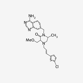 COCC1C(=O)N(Cc2ccc3c(N)ncnc3c2)C(C)CN1C/C=C/c1ccc(Cl)s1